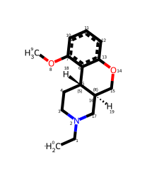 [CH2]CN1CC[C@@H]2c3c(OC)cccc3OC[C@H]2C1